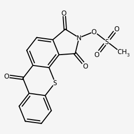 CS(=O)(=O)ON1C(=O)c2ccc3c(=O)c4ccccc4sc3c2C1=O